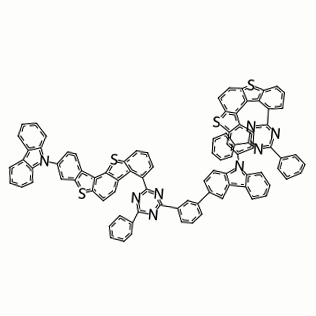 c1ccc(-c2nc(-c3cccc(-c4ccc5c(c4)c4ccccc4n5-c4ccc5c(c4)sc4ccc6sc7cccc(-c8nc(-c9ccccc9)nc(-c9ccccc9)n8)c7c6c45)c3)nc(-c3cccc4sc5c(ccc6sc7cc(-n8c9ccccc9c9ccccc98)ccc7c65)c34)n2)cc1